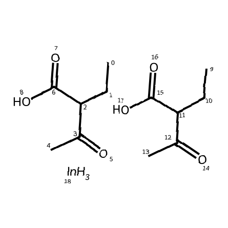 CCC(C(C)=O)C(=O)O.CCC(C(C)=O)C(=O)O.[InH3]